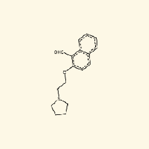 O=Cc1c(OCCN2CCCC2)ccc2ccccc12